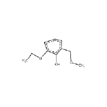 CCOc1cccc(COC)c1O